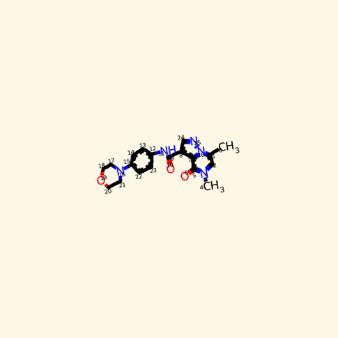 Cc1cn(C)c(=O)c2c(C(=O)Nc3ccc(N4CCOCC4)cc3)cnn12